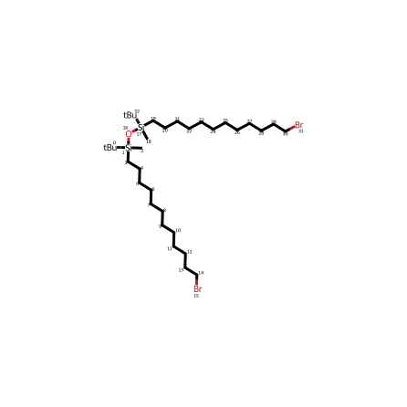 CC(C)(C)[Si](C)(CCCCCCCCCCCCBr)O[Si](C)(CCCCCCCCCCCCBr)C(C)(C)C